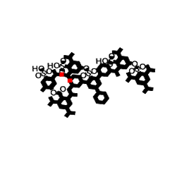 Cc1cc(S(=O)(=O)O)c(C(C)C)cc1OC(=O)c1c(C(C)C)cc(C(C)C)cc1C(C)CC1CCCC(c2cc(C3CCCCC3)cc(C3CCCC(C(C)c4cc(OS(=O)(=O)c5c(C(C)C)cc(C(C)C)cc5C(C)C)cc(C(C)C)c4S(=O)(=O)O)C3)c2S(=O)(=O)Oc2cc(C(C)C)c(S(=O)(=O)O)c(C(C)C)c2)C1